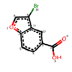 O=C(O)c1ccc2occ(Br)c2c1